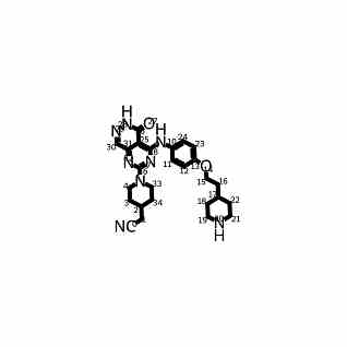 N#CCC1CCN(c2nc(Nc3ccc(OCCC4CCNCC4)cc3)c3c(=O)[nH]ncc3n2)CC1